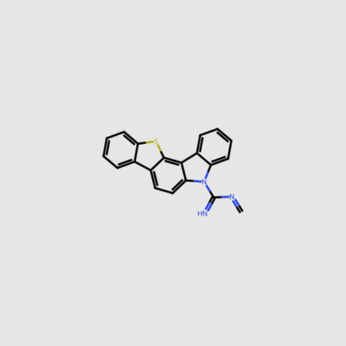 C=NC(=N)n1c2ccccc2c2c3sc4ccccc4c3ccc21